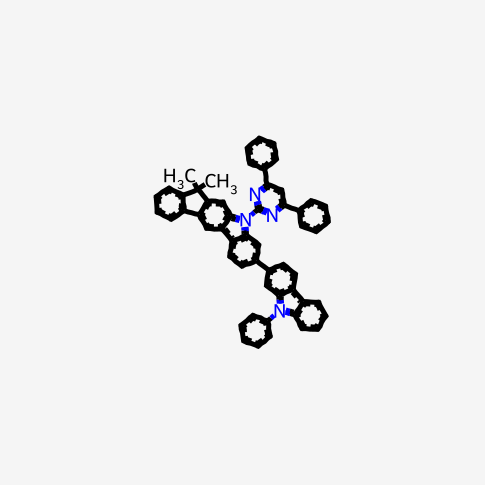 CC1(C)c2ccccc2-c2cc3c4ccc(-c5ccc6c7ccccc7n(-c7ccccc7)c6c5)cc4n(-c4nc(-c5ccccc5)cc(-c5ccccc5)n4)c3cc21